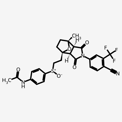 CC(=O)Nc1ccc([S+]([O-])CC[C@@]23CC[C@@](C)(O2)[C@H]2C(=O)N(c4ccc(C#N)c(C(F)(F)F)c4)C(=O)[C@H]23)cc1